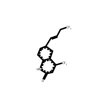 O=c1cc(C(F)(F)F)c2cc(C=CCC(F)(F)F)ccc2[nH]1